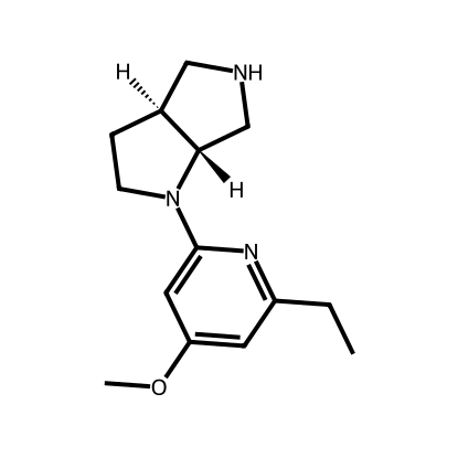 CCc1cc(OC)cc(N2CC[C@H]3CNC[C@@H]32)n1